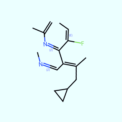 C=C(C)/N=C(C(/C=N\C)=C(C)CC1CC1)\C(F)=C/C